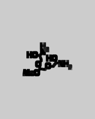 COC(COCC(N)O)OCC(N)O